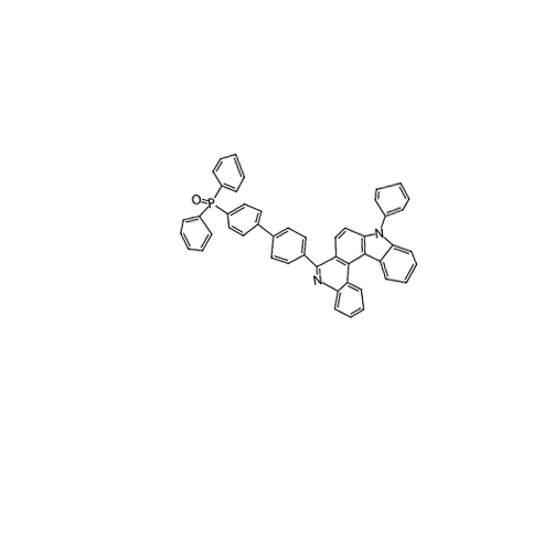 O=P(c1ccccc1)(c1ccccc1)c1ccc(-c2ccc(-c3nc4ccccc4c4c3ccc3c4c4ccccc4n3-c3ccccc3)cc2)cc1